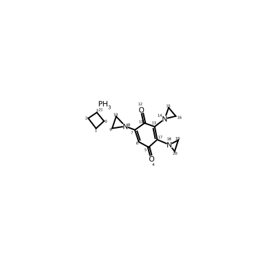 C1CCC1.O=C1C=C(N2CC2)C(=O)C(N2CC2)=C1N1CC1.P